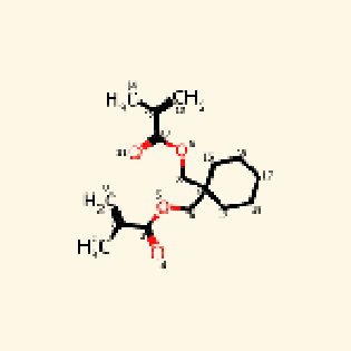 C=C(C)C(=O)OCC1(COC(=O)C(=C)C)CCCCC1